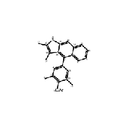 CC(=O)Oc1c(C)cc(-c2c3ccccc3cc3sc(C)c(C)c23)cc1C